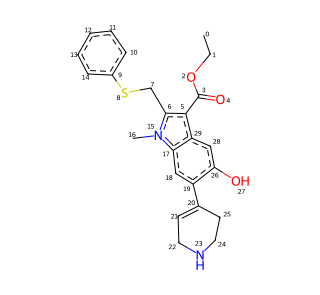 CCOC(=O)c1c(CSc2ccccc2)n(C)c2cc(C3=CCNCC3)c(O)cc12